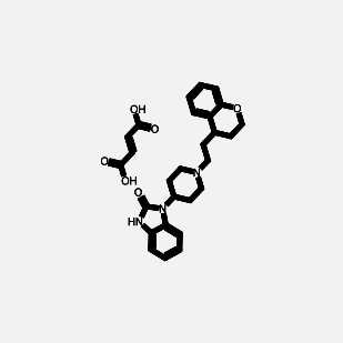 O=C(O)C=CC(=O)O.O=c1[nH]c2ccccc2n1C1CCN(CCC2CCOc3ccccc32)CC1